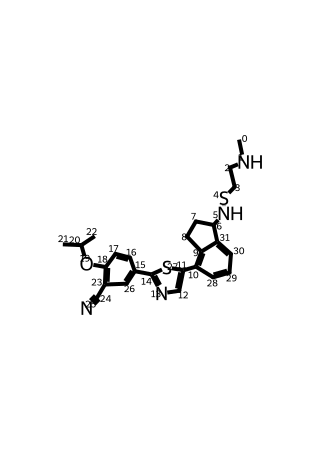 CNCCSNC1CCc2c(-c3cnc(-c4ccc(OC(C)C)c(C#N)c4)s3)cccc21